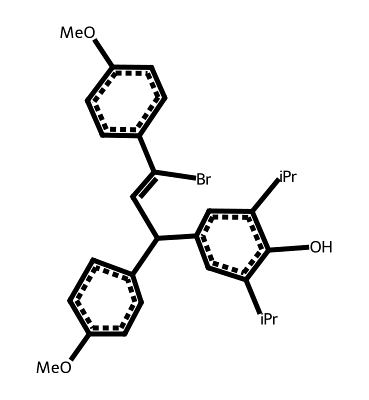 COc1ccc(C(Br)=CC(c2ccc(OC)cc2)c2cc(C(C)C)c(O)c(C(C)C)c2)cc1